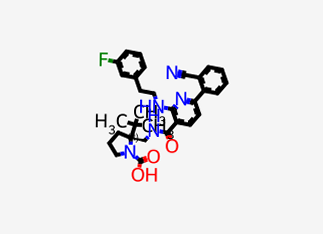 CC(C)(C)[C@@]1(CNC(=O)c2ccc(-c3ccccc3C#N)nc2NCCc2cccc(F)c2)CCCN1C(=O)O